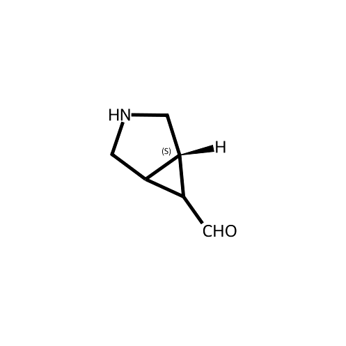 O=CC1C2CNC[C@H]12